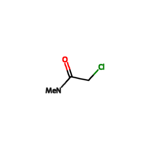 [CH]NC(=O)CCl